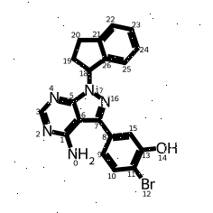 Nc1ncnc2c1c(-c1ccc(Br)c(O)c1)nn2C1CCc2ccccc21